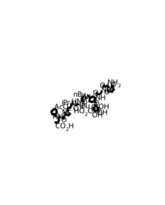 CCCC[N+](C)(CC(=O)N[C@H](C(=O)N(C)[C@H](C[C@@H](OC(C)=O)c1nc(C(=O)N[C@@H](Cc2ccccc2)C[C@H](C)C(=O)O)cs1)C(C)C)[C@@H](C)CC)Cc1ccc(O[C@@H]2O[C@H](C(=O)O)[C@@H](O)[C@H](O)[C@H]2O)c(NC(=O)CCNC(=O)[C@H](CN)N2C(=O)C=CC2=O)c1